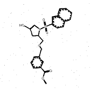 COC(=O)c1cccc(COCC2CC(O)CN2S(=O)(=O)c2ccc3ccccc3c2)c1